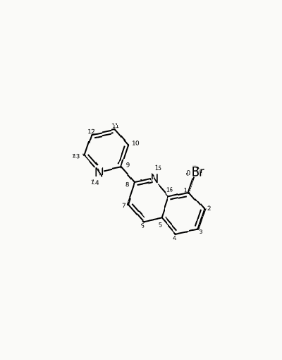 Brc1cccc2ccc(-c3ccccn3)nc12